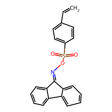 C=Cc1ccc(S(=O)(=O)ON=C2c3ccccc3-c3ccccc32)cc1